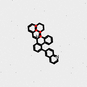 c1ccc(-c2c(-c3ccc4ncccc4c3)cccc2-c2ccc3ncccc3c2)c(PC2CCCCC2)c1